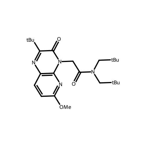 COc1ccc2nc(C(C)(C)C)c(=O)n(CC(=O)N(CC(C)(C)C)CC(C)(C)C)c2n1